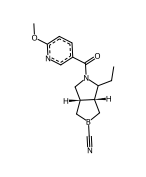 CCC1[C@@H]2CB(C#N)C[C@@H]2CN1C(=O)c1ccc(OC)nc1